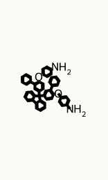 Nc1ccc(Oc2ccc(C3(c4ccc(Oc5ccc(N)cc5)c(-c5ccccc5)c4)c4ccccc4-c4ccccc43)cc2-c2ccccc2)cc1